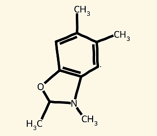 Cc1[c]c2c(cc1C)OC(C)N2C